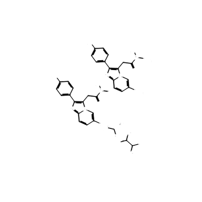 CC(C)[C@H](N)C(=O)O.Cc1ccc(-c2nc3ccc(C)cn3c2CC(=O)N(C)C)cc1.Cc1ccc(-c2nc3ccc(C)cn3c2CC(=O)N(C)C)cc1.O=C(O)C(O)C(O)C(=O)O